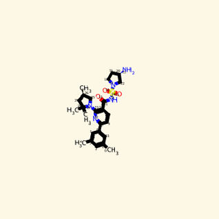 Cc1cc(C)cc(-c2ccc(C(=O)NS(=O)(=O)N3CC[C@H](N)C3)c(N3C[C@@H](C)CC3(C)C)n2)c1